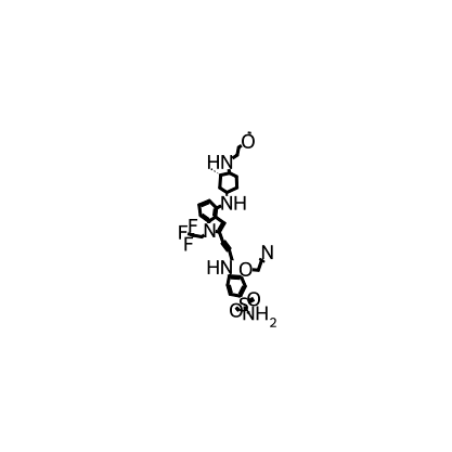 COCCNC1CC[C@@H](Nc2cccc3c2cc(C#CCNc2ccc(S(N)(=O)=O)cc2OCC#N)n3CC(F)(F)F)C[C@@H]1C